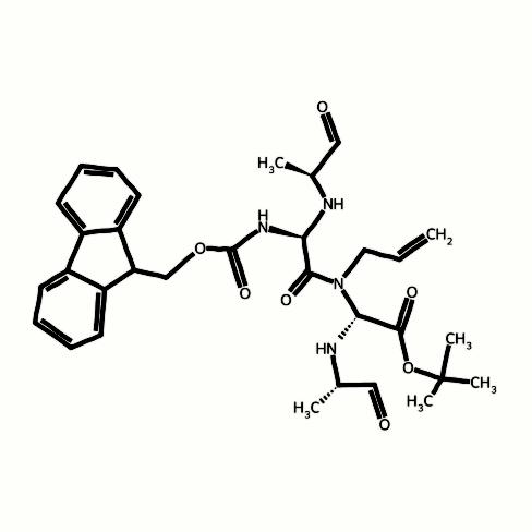 C=CCN(C(=O)[C@@H](NC(=O)OCC1c2ccccc2-c2ccccc21)N[C@@H](C)C=O)[C@@H](N[C@@H](C)C=O)C(=O)OC(C)(C)C